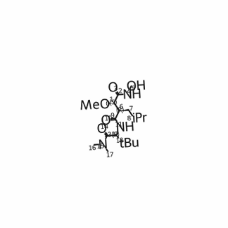 CO[C@H](C(=O)NO)[C@@H](CC(C)C)C(=O)N[C@H](C(=O)N(C)C)C(C)(C)C